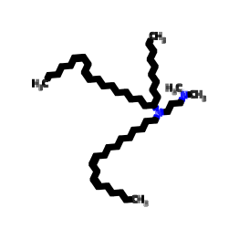 CCCCC/C=C\C/C=C\CCCCCCCCCN(CCCN(C)C)C(CCCCCCCCC)CCCCCCCC/C=C\C/C=C\CCCCC